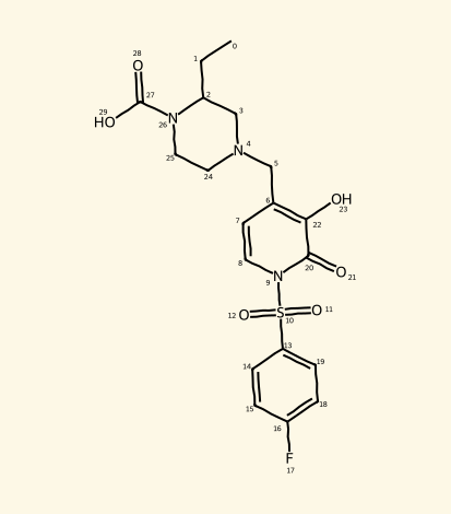 CCC1CN(Cc2ccn(S(=O)(=O)c3ccc(F)cc3)c(=O)c2O)CCN1C(=O)O